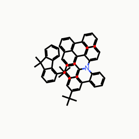 CC(C)(C)c1cc(-c2ccccc2N(c2ccc(-c3cccc4c3-c3ccccc3C4(C)C)cc2)c2ccccc2-c2cccc3cccc(-c4ccccc4)c23)cc(C(C)(C)C)c1